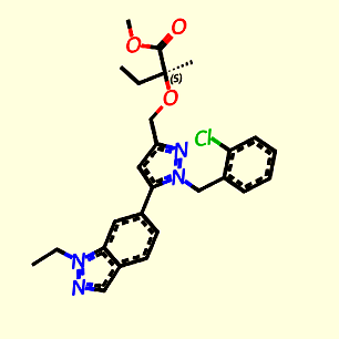 CCn1ncc2ccc(-c3cc(CO[C@@](C)(CC)C(=O)OC)nn3Cc3ccccc3Cl)cc21